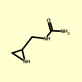 NC(=O)NCC1CN1